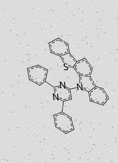 c1ccc(-c2cc(-n3c4ccccc4c4ccc5c6ccccc6sc5c43)nc(-c3ccccc3)n2)cc1